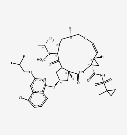 C[C@@H]1CCC=C[C@@H]2C[C@@]2(C(=O)NS(=O)(=O)C2(C)CC2)NC(=O)[C@@H]2C[C@@H](Oc3nc(OCC(F)F)cc4c(Cl)cccc34)CN2C(=O)[C@@H](N(C(=O)O)[C@H](C)C(F)(F)F)[C@H](C)C1